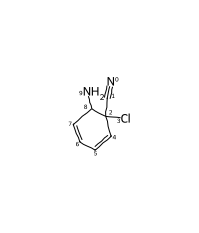 N#CC1(Cl)C=CC=CC1N